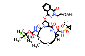 COCCn1nc(O[C@@H]2C[C@H]3C(=O)N[C@]4(C(=O)NS(=O)(=O)C5(C)CC5)C[C@H]4/C=C\CC[C@H](C)C[C@@H](C)[C@H](NC(=O)OC(C)(C)C(C)(F)F)C(=O)N3C2)c2ccccc2c1=O